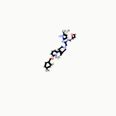 CC1C2CN(Cc3nc4[nH]c(C(=O)O)cc4n3C[C@@H]3CCO3)CCC12c1cccc(OCc2ccc(C#N)cc2F)n1